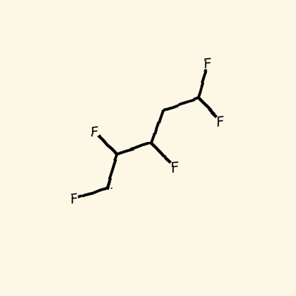 F[CH]C(F)C(F)CC(F)F